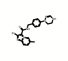 CCc1nc2ccc(I)cn2c1C(=O)NCc1ccc(N2CCNC=N2)cc1